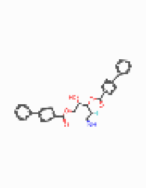 N=C[C@@H](F)[C@H](OC(=O)c1ccc(-c2ccccc2)cc1)[C@H](O)COC(=O)c1ccc(-c2ccccc2)cc1